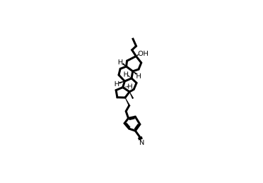 CCC[C@@]1(O)CC[C@H]2[C@H](CC[C@@H]3[C@@H]2CC[C@]2(C)[C@@H](CCc4ccc(C#N)cc4)CC[C@@H]32)C1